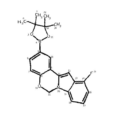 CC1(C)OB(c2ccc3c(c2)-c2cc4c(F)cccc4n2CO3)OC1(C)C